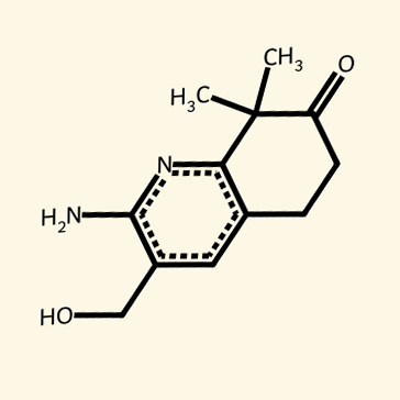 CC1(C)C(=O)CCc2cc(CO)c(N)nc21